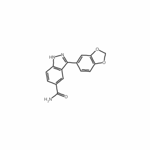 NC(=O)c1ccc2[nH]nc(-c3ccc4c(c3)OCO4)c2c1